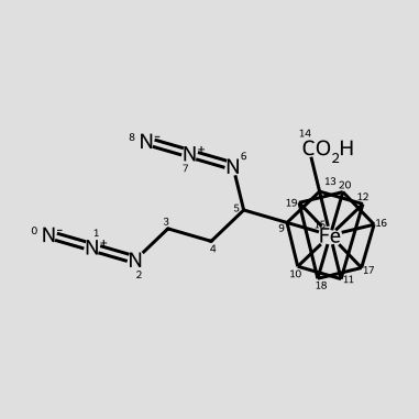 [N-]=[N+]=NCCC(N=[N+]=[N-])[C]12[CH]3[CH]4[CH]5[C]1(C(=O)O)[Fe]45321678[CH]2[CH]1[CH]6[CH]7[CH]28